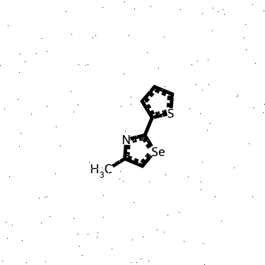 Cc1c[se]c(-c2cccs2)n1